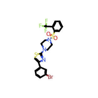 O=S(=O)(c1ccccc1C(F)(F)F)N1CCN(c2nc(-c3cccc(Br)c3)cs2)CC1